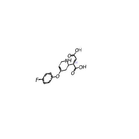 O=C(O)/C=C(/C(=O)O)C1CC(Oc2ccc(F)cc2)=CCN1